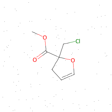 COC(=O)C1(CCl)CC=CO1